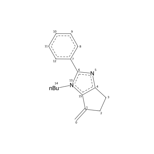 C=C1CCc2nc(-c3ccccc3)n(CCCC)c21